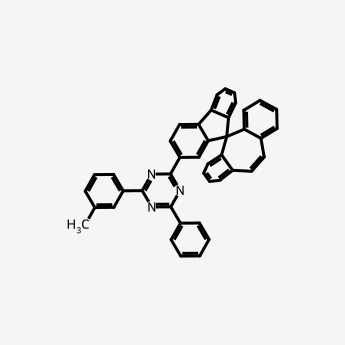 Cc1cccc(-c2nc(-c3ccccc3)nc(-c3ccc4c(c3)C3(c5ccccc5C=Cc5ccccc53)c3ccccc3-4)n2)c1